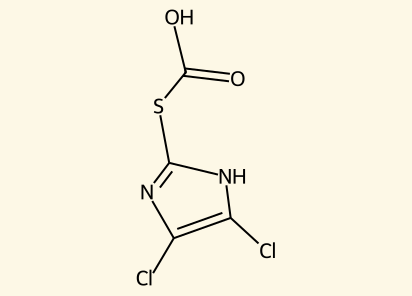 O=C(O)Sc1nc(Cl)c(Cl)[nH]1